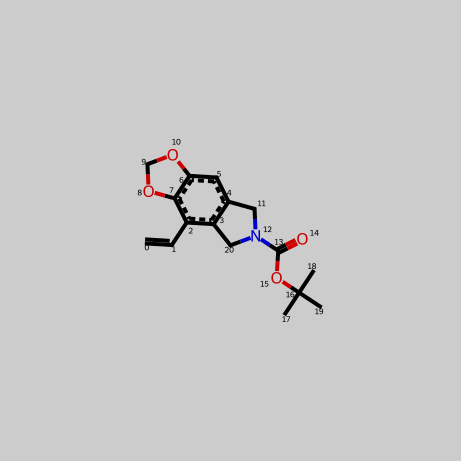 C=Cc1c2c(cc3c1OCO3)CN(C(=O)OC(C)(C)C)C2